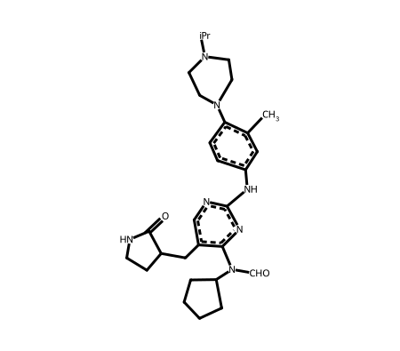 Cc1cc(Nc2ncc(CC3CCNC3=O)c(N(C=O)C3CCCC3)n2)ccc1N1CCN(C(C)C)CC1